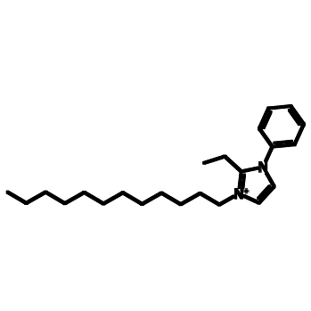 CCCCCCCCCCCC[n+]1ccn(-c2ccccc2)c1CC